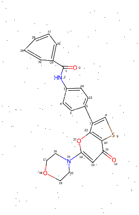 O=C(Nc1ccc(-c2csc3c(=O)cc(N4CCOCC4)oc23)cc1)c1ccccc1